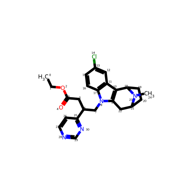 CCOC(=O)CC(Cn1c2c(c3cc(Cl)ccc31)C1CCC(C2)N1C)c1ccncn1